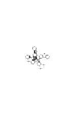 CC1(C)CCC(C)(C)c2cc(N3B4c5cccc6c5N(c5ccccc5C6(C)C)c5cc6c(oc7ccccc76)c(c54)-c4cc5c(cc43)-c3ccccc3C5(C)C)ccc21